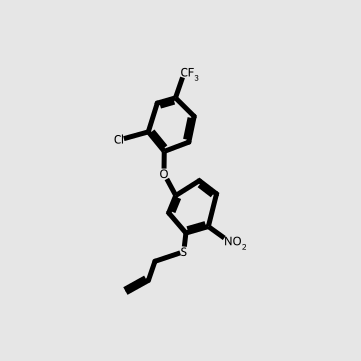 C=CCSc1cc(Oc2ccc(C(F)(F)F)cc2Cl)ccc1[N+](=O)[O-]